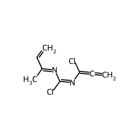 C=C=C(Cl)/N=C(Cl)\N=C(/C)C=C